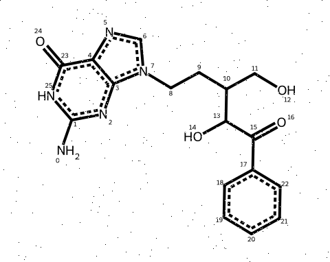 Nc1nc2c(ncn2CCC(CO)C(O)C(=O)c2ccccc2)c(=O)[nH]1